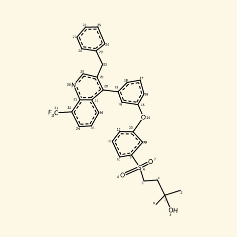 CC(C)(O)CCS(=O)(=O)c1cccc(Oc2cccc(-c3c(Cc4ccccc4)cnc4c(C(F)(F)F)cccc34)c2)c1